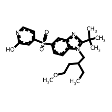 CCC(CCOC)Cn1c(C(C)(C)C)nc2cc(S(=O)(=O)c3ccnc(O)c3)ccc21